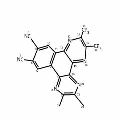 Cc1nc2c3cc(C#N)c(C#N)cc3c3nc(C(F)(F)F)c(C(F)(F)F)nc3c2nc1C